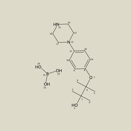 CC(C)(O)C(C)(C)Oc1ccc(N2CCNCC2)cc1.OB(O)O